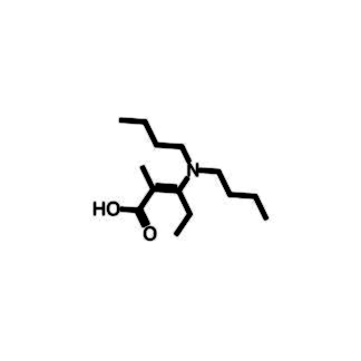 CCCCN(CCCC)C(CC)=C(C)C(=O)O